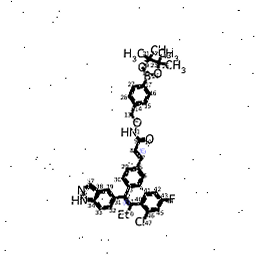 CC/C(=C(/c1ccc(/C=C/C(=O)NOCc2ccc(B3OC(C)(C)C(C)(C)O3)cc2)cc1)c1ccc2[nH]ncc2c1)c1ccc(F)cc1Cl